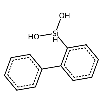 O[SiH](O)c1ccccc1-c1ccccc1